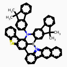 CC1(C)c2ccccc2-c2cc(N3c4cc5c(cc4B4c6c(cc7sc8ccccc8c7c63)-c3cccc6c7cc8ccccc8cc7n4c36)C(C)(C)c3ccccc3-5)ccc21